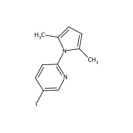 Cc1ccc(C)n1-c1ccc(I)cn1